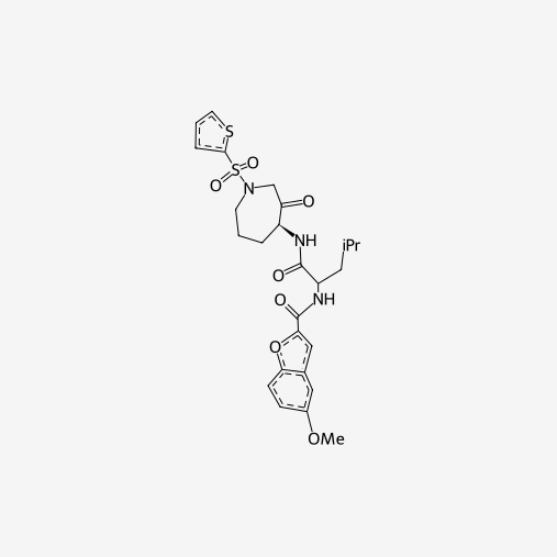 COc1ccc2oc(C(=O)NC(CC(C)C)C(=O)N[C@H]3CCCN(S(=O)(=O)c4cccs4)CC3=O)cc2c1